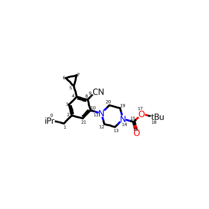 CC(C)Cc1cc(C2CC2)c(C#N)c(N2CCN(C(=O)OC(C)(C)C)CC2)c1